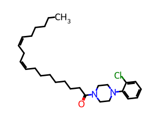 CCCCC/C=C\C/C=C\CCCCCCCC(=O)N1CCN(c2ccccc2Cl)CC1